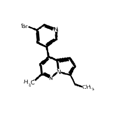 CCc1ccc2c(-c3cncc(Br)c3)cc(C)nn12